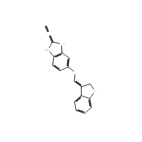 C=C=C1Nc2ccc(N/C=C3\CNc4ccccc43)cc2N1